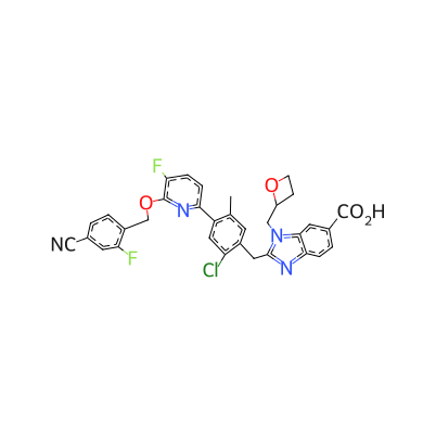 Cc1cc(Cc2nc3ccc(C(=O)O)cc3n2CC2CCO2)c(Cl)cc1-c1ccc(F)c(OCc2ccc(C#N)cc2F)n1